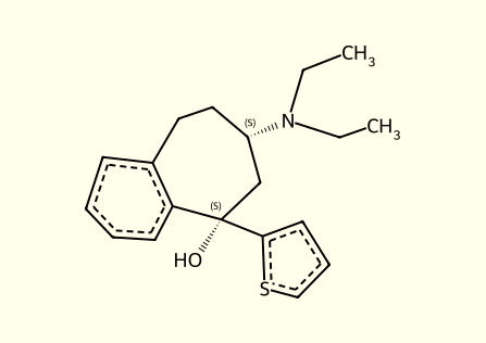 CCN(CC)[C@H]1CCc2ccccc2[C@](O)(c2cccs2)C1